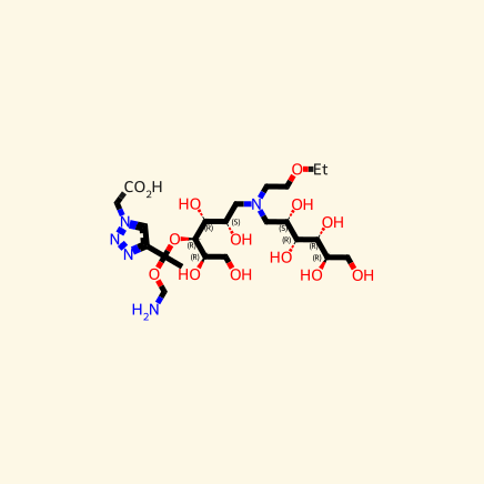 CCOCCN(C[C@H](O)[C@@H](O)[C@H](O)[C@H](O)CO)C[C@H](O)[C@@H](O)[C@H](OC(C)(OCN)c1cn(CC(=O)O)nn1)[C@H](O)CO